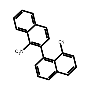 N#Cc1cccc2cc[c]c(-c3ccc4ccccc4c3[N+](=O)[O-])c12